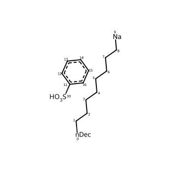 CCCCCCCCCCCCCCCCC[CH2][Na].O=S(=O)(O)c1ccccc1